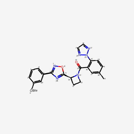 COc1cccc(-c2noc([C@@H]3CCN3C(=O)c3cc(C)ccc3-n3nccn3)n2)c1